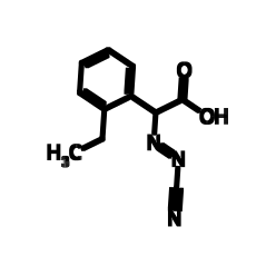 CCc1ccccc1C(/N=N/C#N)C(=O)O